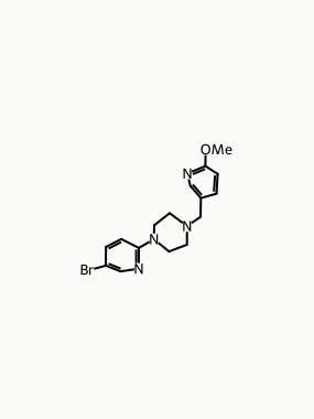 COc1ccc(CN2CCN(c3ccc(Br)cn3)CC2)cn1